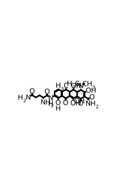 CC1c2ccc(NC(=O)[C@@H](N)CCC(N)=O)c(O)c2C(=O)C2=C(O)C3(O)C(=O)C(C(N)=O)=C(O)[C@@H](N(C)C)C3C(O)C21